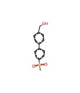 CS(=O)(=O)c1ccc(-c2ccc(CO)cc2)cc1